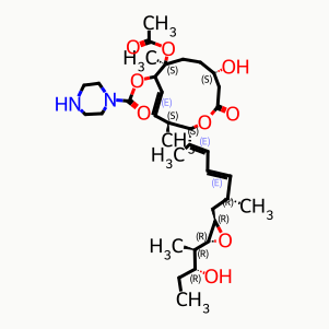 CC[C@@H](O)[C@@H](C)[C@H]1O[C@@H]1C[C@@H](C)/C=C/C=C(\C)[C@H]1OC(=O)C[C@@H](O)CC[C@](C)(OC(C)=O)C(OC(=O)N2CCNCC2)/C=C/[C@@H]1C